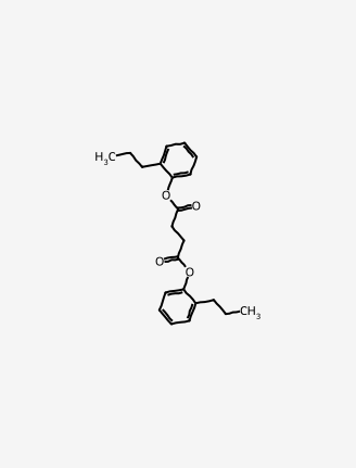 CCCc1ccccc1OC(=O)CCC(=O)Oc1ccccc1CCC